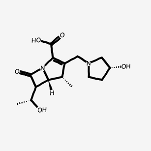 C[C@@H](O)C1C(=O)N2C(C(=O)O)=C(CN3CC[C@@H](O)C3)[C@H](C)[C@H]12